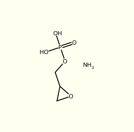 N.O=P(O)(O)OCC1CO1